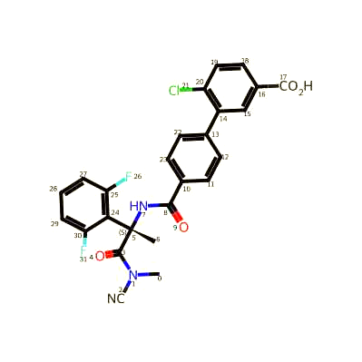 CN(C#N)C(=O)[C@@](C)(NC(=O)c1ccc(-c2cc(C(=O)O)ccc2Cl)cc1)c1c(F)cccc1F